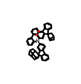 c1ccc(-c2ccccc2N(c2ccc3c(c2)C2(CC4CCC2C4)c2ccccc2-3)c2ccc3c(c2)C2(c4ccccc4-3)C3CC4CC(C3)CC2C4)cc1